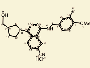 COc1ccc(CNc2nnc(N3CC[C@@H](CO)C3)c3ccc(C#N)cc23)cc1Br.Cl